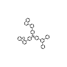 c1ccc(-c2cc(-c3ccccc3)cc(-c3ccc(N(c4ccc(-c5cccc(-c6cccc7ccccc67)c5)cc4)c4ccc(-c5cccc6c5oc5ccccc56)cc4)cc3)c2)cc1